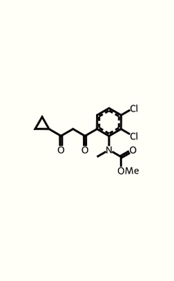 COC(=O)N(C)c1c(C(=O)CC(=O)C2CC2)ccc(Cl)c1Cl